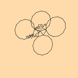 O=C(O)C1(OC2(C(=O)O)CCCCCCCCCCC2(C2(C(=O)O)CCCCCCCCCCC2)C2(C(=O)O)CCCCCCCCCCC2)CCCCCCCCCCC1